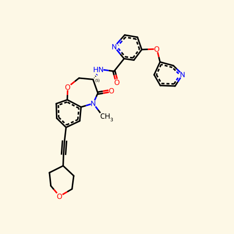 CN1C(=O)[C@@H](NC(=O)c2cc(Oc3cccnc3)ccn2)COc2ccc(C#CC3CCOCC3)cc21